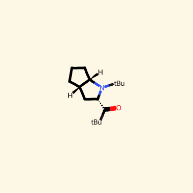 CC(C)(C)C(=O)[C@@H]1C[C@@H]2CCC[C@@H]2N1C(C)(C)C